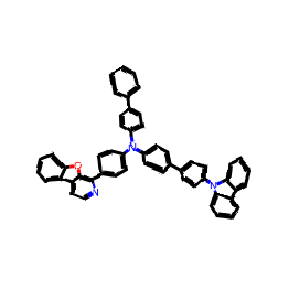 c1ccc(-c2ccc(N(c3ccc(-c4ccc(-n5c6ccccc6c6ccccc65)cc4)cc3)c3ccc(-c4nccc5c4oc4ccccc45)cc3)cc2)cc1